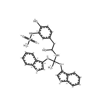 CC(NC(O)Cc1ccc(O)c(NS(C)(=O)=O)c1)(Oc1csc2ccccc12)Oc1csc2ccccc12